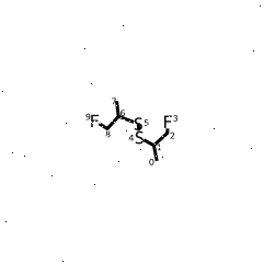 CC(CF)SSC(C)CF